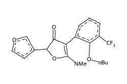 CCCCOc1c(C2=C(NC)OC(c3ccoc3)C2=O)cccc1C(F)(F)F